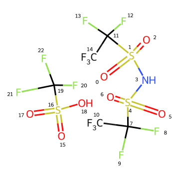 O=S(=O)(NS(=O)(=O)C(F)(F)C(F)(F)F)C(F)(F)C(F)(F)F.O=S(=O)(O)C(F)(F)F